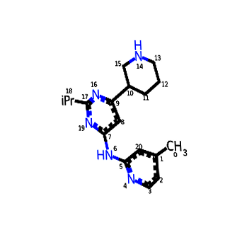 Cc1ccnc(Nc2cc(C3CCCNC3)nc(C(C)C)n2)c1